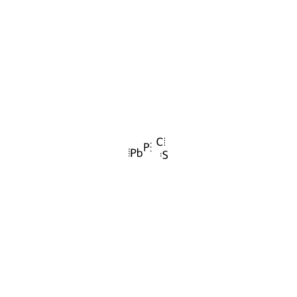 [C].[P].[Pb].[S]